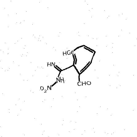 N=C(N[N+](=O)[O-])[C]1=[GeH][CH]=CC=C1C=O